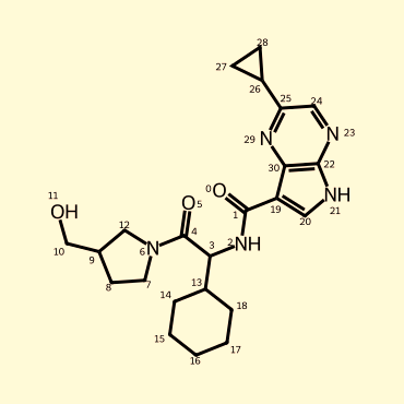 O=C(NC(C(=O)N1CCC(CO)C1)C1CCCCC1)c1c[nH]c2ncc(C3CC3)nc12